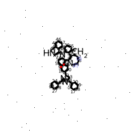 C=C1/C=C\C=C/N(c2cccc(C3C=C(c4ccccc4)N4C(c5ccccc5)N34)c2)C2=C1c1ccccc1N(C1=CNCc3ccccc31)c1ccccc12